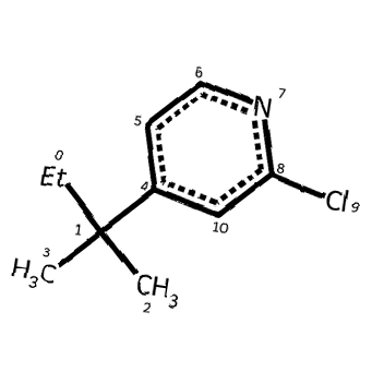 CCC(C)(C)c1ccnc(Cl)c1